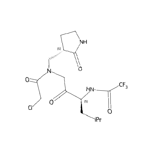 CC(C)C[C@H](NC(=O)C(F)(F)F)C(=O)CN(C[C@@H]1CCNC1=O)C(=O)CCl